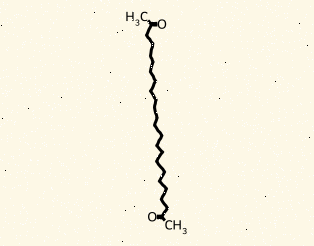 CC(=O)CCCCCCCCCCCCCCCCCCCCC(C)=O